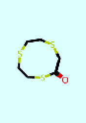 O=C1CSCCSCCS1